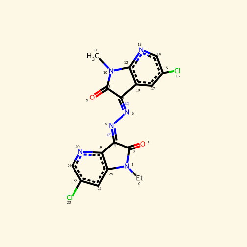 CCN1C(=O)/C(=N\N=C2/C(=O)N(C)c3ncc(Cl)cc32)c2ncc(Cl)cc21